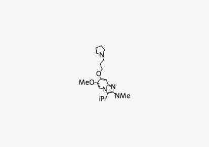 CNc1nc2cc(OCCCN3CCCC3)c(OC)cn2c1C(C)C